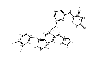 O=C1CCC(Nc2cccc(CNc3cc4c(Nc5ccc(F)c(Cl)c5)ncnc4cc3O[C@H]3CCOC3)c2)C(=O)N1